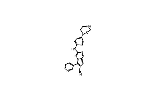 N#Cc1cc2cnc(Nc3ccc(N4CCNCC4)cc3)nn2c1-c1cccnc1